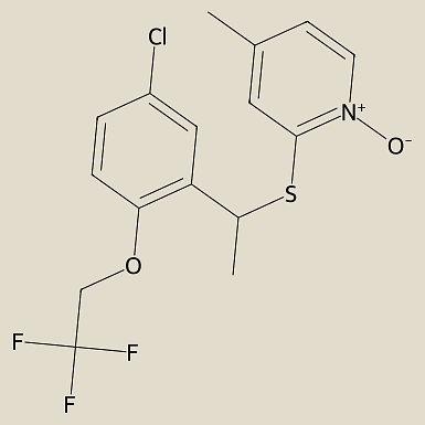 Cc1cc[n+]([O-])c(SC(C)c2cc(Cl)ccc2OCC(F)(F)F)c1